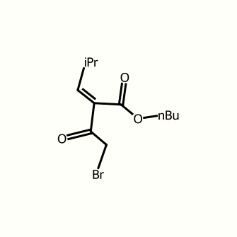 CCCCOC(=O)/C(=C\C(C)C)C(=O)CBr